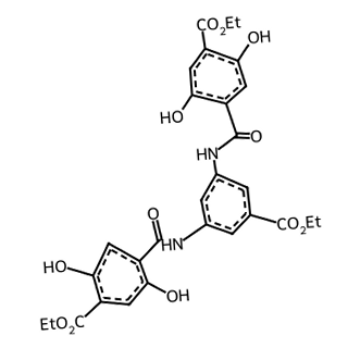 CCOC(=O)c1cc(NC(=O)c2cc(O)c(C(=O)OCC)cc2O)cc(NC(=O)c2cc(O)c(C(=O)OCC)cc2O)c1